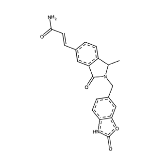 CC1c2ccc(C=CC(N)=O)cc2C(=O)N1Cc1ccc2[nH]c(=O)oc2c1